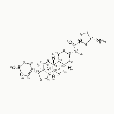 CN(C(=O)N1CC[C@H](N)C1)[C@H]1CC[C@@]2(C)[C@H](CC[C@@H]3[C@@H]2CC[C@]2(C)[C@@H](c4ccc(=O)oc4)CC[C@]32O)C1